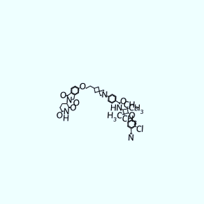 CC1(C)C(NC(=O)c2ccc(N3CC4(CC(CCOc5ccc6c(c5)C(=O)N(C5CCC(=O)NC5=O)C6=O)C4)C3)cc2)C(C)(C)C1Oc1ccc(C#N)c(Cl)c1